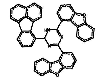 c1cc2c(c(C3N=C(c4cccc5oc6ccccc6c45)N=C(c4cccc5oc6ccccc6c45)N3)c1)-c1cccc3cccc-2c13